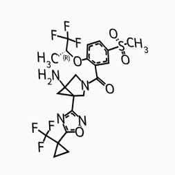 C[C@@H](Oc1ccc(S(C)(=O)=O)cc1C(=O)N1CC2(N)CC2(c2noc(C3(C(F)(F)F)CC3)n2)C1)C(F)(F)F